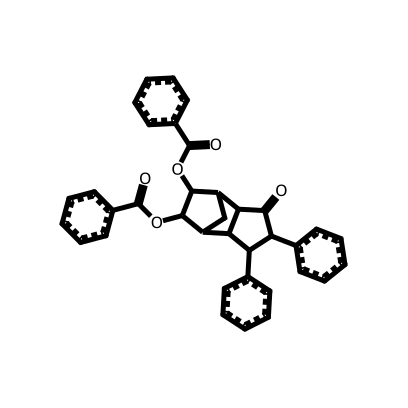 O=C(OC1C2CC(C1OC(=O)c1ccccc1)C1C2C(=O)C(c2ccccc2)C1c1ccccc1)c1ccccc1